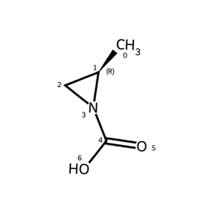 C[C@@H]1CN1C(=O)O